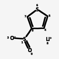 O=S([O-])c1ccsc1.[Li+]